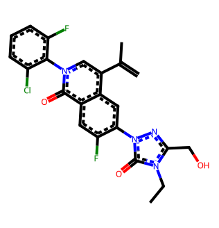 C=C(C)c1cn(-c2c(F)cccc2Cl)c(=O)c2cc(F)c(-n3nc(CO)n(CC)c3=O)cc12